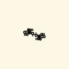 Cc1cc(/N=N/c2c(S(=O)(=O)O)cc3ccccc3c2O)ccc1-c1ccc(/N=N/c2c(S(=O)(=O)O)cc3ccccc3c2O)cc1C